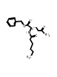 CCCCCC(=O)N[C@@H](CCC(N)=O)C(=O)OCc1ccccc1